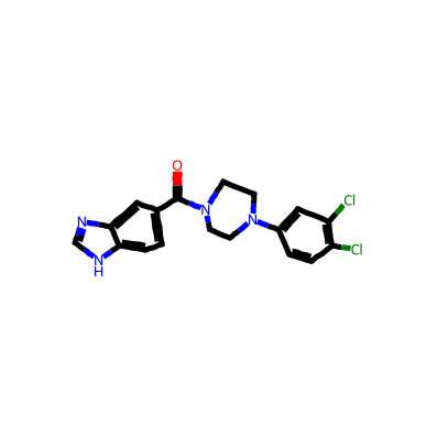 O=C(c1ccc2[nH]cnc2c1)N1CCN(c2ccc(Cl)c(Cl)c2)CC1